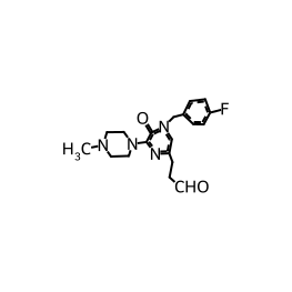 CN1CCN(c2nc(CCC=O)cn(Cc3ccc(F)cc3)c2=O)CC1